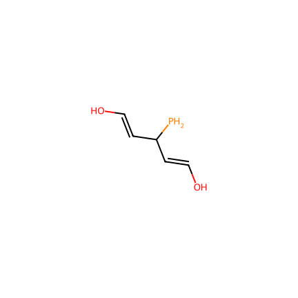 O/C=C/C(P)/C=C/O